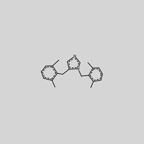 Cc1cccc(C)c1Cc1cncn1Cc1c(C)cccc1C